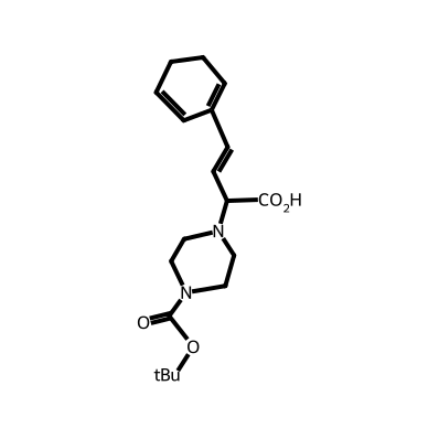 CC(C)(C)OC(=O)N1CCN(C(C=CC2=CCCC=C2)C(=O)O)CC1